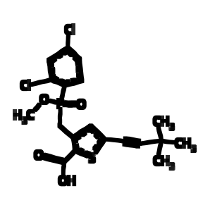 COP(=O)(Cc1cc(C#CC(C)(C)C)sc1C(=O)O)c1ccc(Cl)cc1Cl